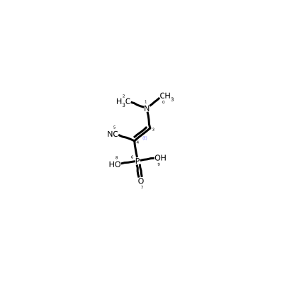 CN(C)/C=C(\C#N)P(=O)(O)O